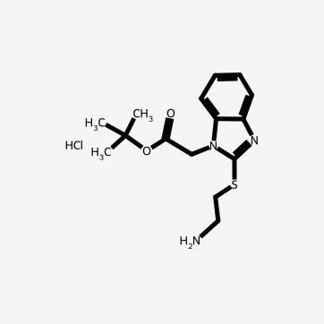 CC(C)(C)OC(=O)Cn1c(SCCN)nc2ccccc21.Cl